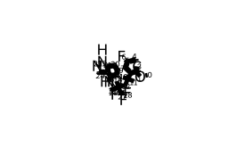 COc1ccc(F)cc1C(C)(C)CC(O)(/C=N\c1cccc2[nH]ncc12)C(F)(F)F